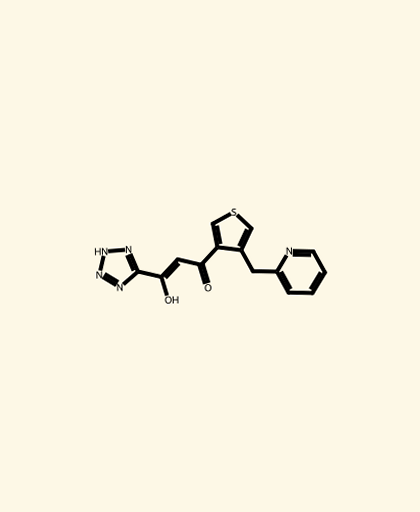 O=C(C=C(O)c1nn[nH]n1)c1cscc1Cc1ccccn1